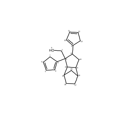 OCC1(C2=CC=CC2)C(C2=CC=CC2)CC2C3CCC(C3)C21